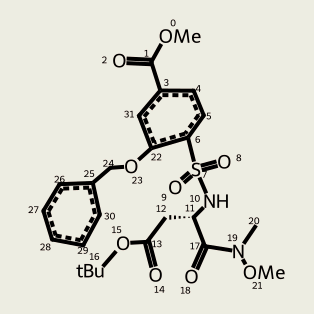 COC(=O)c1ccc(S(=O)(=O)N[C@@H](CC(=O)OC(C)(C)C)C(=O)N(C)OC)c(OCc2ccccc2)c1